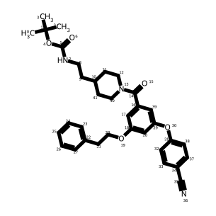 CC(C)(C)OC(=O)NCCC1CCN(C(=O)c2cc(OCCc3ccccc3)cc(Oc3ccc(C#N)cc3)c2)CC1